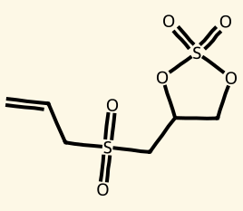 C=CCS(=O)(=O)CC1COS(=O)(=O)O1